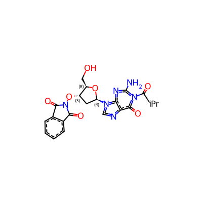 CC(C)C(=O)n1c(N)nc2c(ncn2[C@H]2C[C@H](ON3C(=O)c4ccccc4C3=O)[C@@H](CO)O2)c1=O